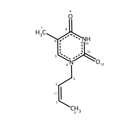 C/C=C\Cn1cc(C)c(=O)[nH]c1=O